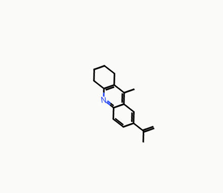 C=C(C)c1ccc2nc3c(c(C)c2c1)CCCC3